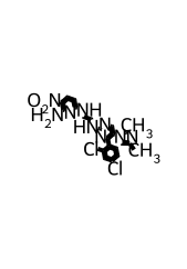 Cc1cn(-c2cnc(NCCNc3ccc([N+](=O)[O-])c(N)n3)nc2-c2ccc(Cl)cc2Cl)c(C)n1